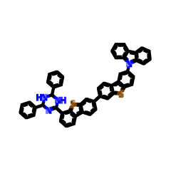 c1ccc(C2N=C(c3cccc4c3sc3cc(-c5ccc6c(c5)sc5ccc(-n7c8ccccc8c8ccccc87)cc56)ccc34)NC(c3ccccc3)N2)cc1